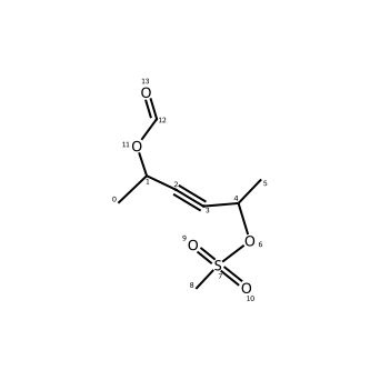 CC(C#CC(C)OS(C)(=O)=O)OC=O